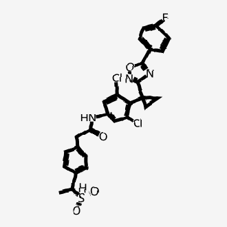 CC(c1ccc(CC(=O)Nc2cc(Cl)c(C3(c4noc(-c5ccc(F)cc5)n4)CC3)c(Cl)c2)cc1)[SH](=O)=O